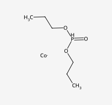 CCCO[PH](=O)OCCC.[Co]